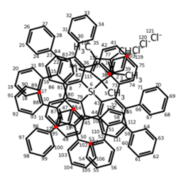 CC1=C(C)C(C)([Si](c2c(-c3ccccc3)c(-c3ccccc3)c(-c3ccccc3)c(-c3ccccc3)c2-c2ccccc2)(c2c(-c3ccccc3)c(-c3ccccc3)c(-c3ccccc3)c(-c3ccccc3)c2-c2ccccc2)c2c(-c3ccccc3)c(-c3ccccc3)c(-c3ccccc3)c(-c3ccccc3)c2-c2ccccc2)[C]([Ti+3])=C1C.[Cl-].[Cl-].[Cl-]